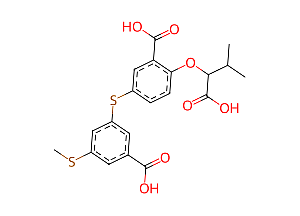 CSc1cc(Sc2ccc(OC(C(=O)O)C(C)C)c(C(=O)O)c2)cc(C(=O)O)c1